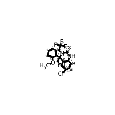 CCC1(c2ccccc2OC)c2cc(Cl)ccc2NC(=O)N1CC(F)(F)F